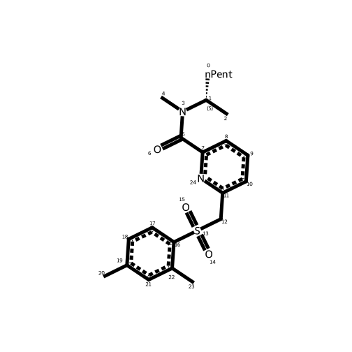 CCCCC[C@H](C)N(C)C(=O)c1cccc(CS(=O)(=O)c2ccc(C)cc2C)n1